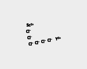 [Cl-].[Cl-].[Cl-].[Cl-].[Cl-].[Cl-].[Sc+3].[Y+3]